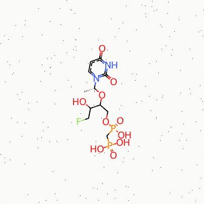 C[C@@H](OC(COP(=O)(O)CP(=O)(O)O)C(O)CF)n1ccc(=O)[nH]c1=O